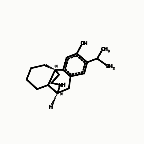 BC(C)c1cc2c(cc1O)[C@]13CCCCC1[C@H](C2)NCC3